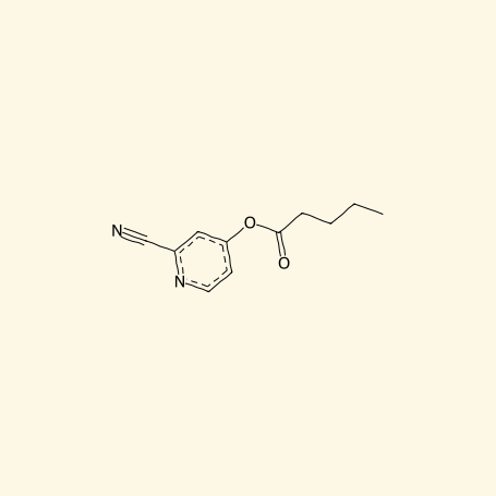 CCCCC(=O)Oc1ccnc(C#N)c1